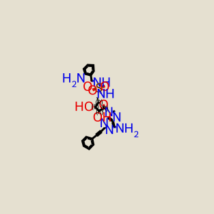 Nc1ccccc1C(=O)NS(=O)(=O)NC[C@H]1O[C@@H](n2cnc3c(N)nc(C#Cc4ccccc4)nc32)[C@H](O)[C@@H]1O